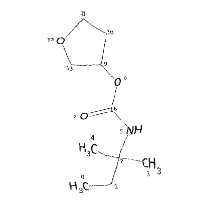 CCC(C)(C)NC(=O)OC1CCOC1